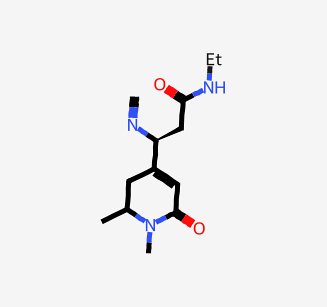 C=N[C@@H](CC(=O)NCC)C1=CC(=O)N(C)C(C)C1